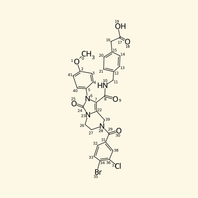 COc1ccc(-n2c(C(=O)NCc3ccc(CC(=O)O)cc3)c3n(c2=O)CCN(C(=O)c2ccc(Br)c(Cl)c2)C3)cc1